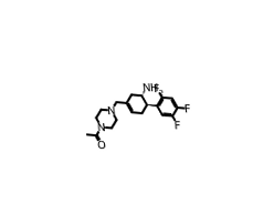 CC(=O)N1CCN(CC2=CC[C@H](c3cc(F)c(F)cc3F)[C@@H](N)C2)CC1